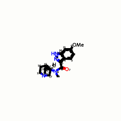 COc1ccc2c(C(=O)N(C)[C@H]3CN4CCC3CC4)n[nH]c2c1